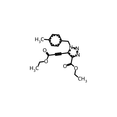 CCOC(=O)C#Cc1c(C(=O)OCC)nnn1Cc1ccc(C)cc1